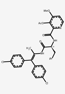 COc1ccnc(C(=O)N[C@@H](CC(C)C)C(=O)NC(C)=C(c2ccc(Cl)cc2)c2ccc(Cl)cc2)c1OC(C)=O